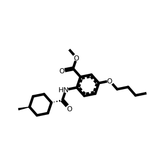 CCCCOc1ccc(NC(=O)[C@H]2CC[C@H](C)CC2)c(C(=O)OC)c1